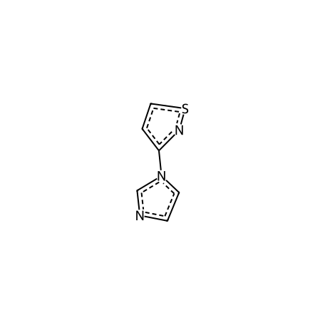 c1cn(-c2ccsn2)cn1